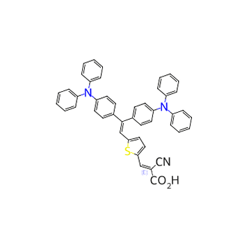 N#C/C(=C\c1ccc(C=C(c2ccc(N(c3ccccc3)c3ccccc3)cc2)c2ccc(N(c3ccccc3)c3ccccc3)cc2)s1)C(=O)O